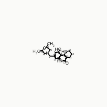 CC1CN(Cc2cc(O)c3c4c(c(=O)[nH]c3c2)CCCN4)CC(C)O1